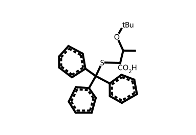 CC(OC(C)(C)C)C(SC(c1ccccc1)(c1ccccc1)c1ccccc1)C(=O)O